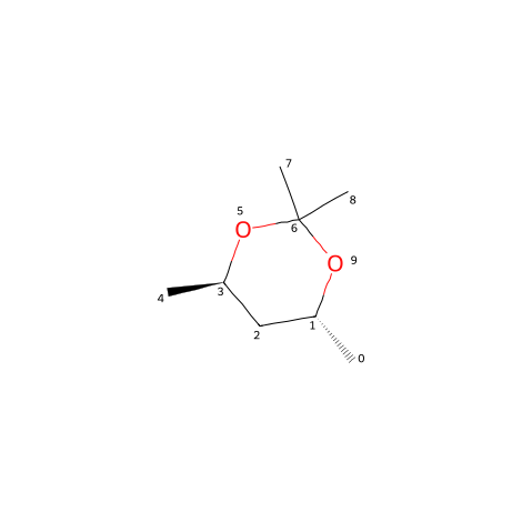 C[C@@H]1C[C@@H](C)OC(C)(C)O1